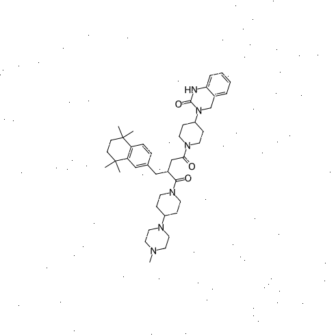 CN1CCN(C2CCN(C(=O)C(CC(=O)N3CCC(N4Cc5ccccc5NC4=O)CC3)Cc3ccc4c(c3)C(C)(C)CCC4(C)C)CC2)CC1